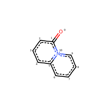 O=c1cc[c]c2ccccn12